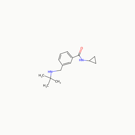 CC(C)(C)NCc1cccc(C(=O)NC2CC2)c1